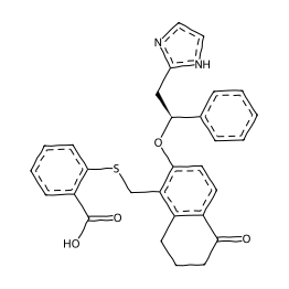 O=C(O)c1ccccc1SCc1c(O[C@@H](Cc2ncc[nH]2)c2ccccc2)ccc2c1CCCC2=O